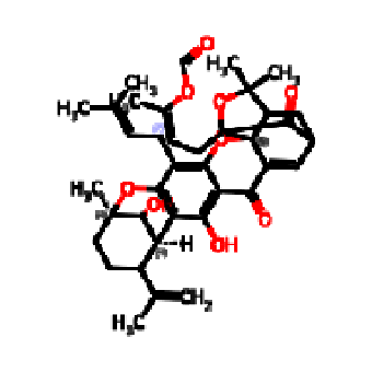 C=C(C)C1CC[C@@]2(C)Oc3c(CC=C(C)C)c4c(c(O)c3[C@@H]1C2O)C(=O)C1=CC2CC3C(C)(C)OC(C/C=C(/C)OC=O)(C2=O)[C@@]13O4